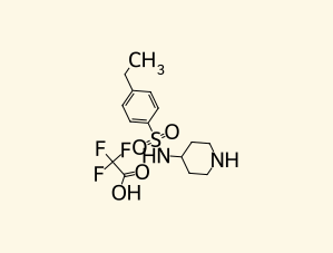 CCc1ccc(S(=O)(=O)NC2CCNCC2)cc1.O=C(O)C(F)(F)F